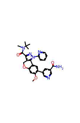 COc1cc2c(cc1-c1cncc(C(N)=O)c1)-c1c(c(C(=O)N(C)C(C)(C)C)nn1-c1ccccn1)CO2